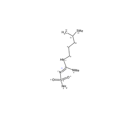 CN/C(=N\S(N)(=O)=O)NCCCC(C)SC